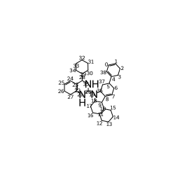 C1=CCCC(C2CC=C3C4C5=C(CCCC5)CCC4N(C4NC5=C(C=CCC5)C(C5CCCCC5)N4)C3C2)=C1